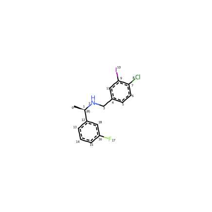 C[C@@H](NCc1ccc(Cl)c(I)c1)c1cccc(F)c1